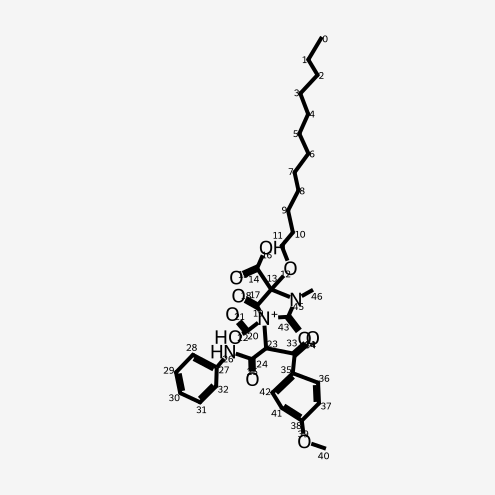 CCCCCCCCCCCCOC1(C(=O)O)C(=O)[N+](C(=O)O)(C(C(=O)Nc2ccccc2)C(=O)c2ccc(OC)cc2)C(=O)N1C